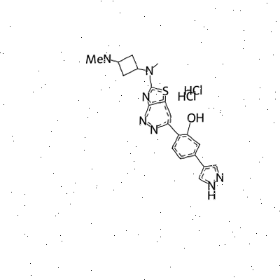 CNC1CC(N(C)c2nc3nnc(-c4ccc(-c5cn[nH]c5)cc4O)cc3s2)C1.Cl.Cl